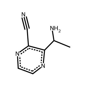 CC(N)c1nccnc1C#N